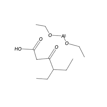 CCC(CC)C(=O)CC(=O)O.CC[O][Al][O]CC